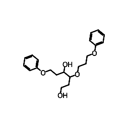 OCCC(OCCCOc1ccccc1)C(O)CCOc1ccccc1